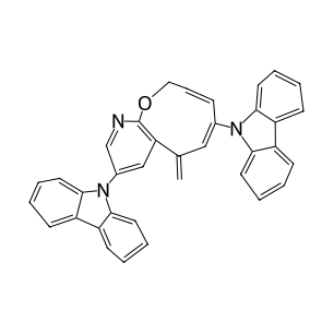 C=C1/C=C(n2c3ccccc3c3ccccc32)\C=C/COc2ncc(-n3c4ccccc4c4ccccc43)cc21